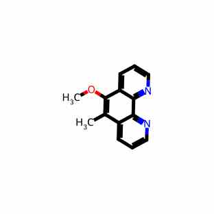 COc1c(C)c2cccnc2c2ncccc12